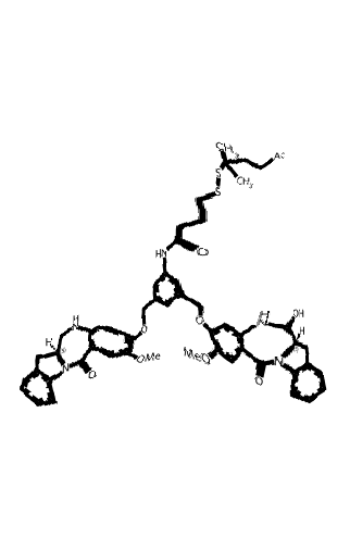 COc1cc2c(cc1OCc1cc(COc3cc4c(cc3OC)C(=O)N3c5ccccc5C[C@H]3C(O)N4)cc(NC(=O)CCCSSC(C)(C)CCC(C)=O)c1)NC[C@@H]1Cc3ccccc3N1C2=O